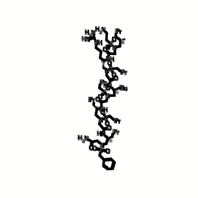 CCC(C)[C@@H](CN(CC(=O)N[C@@H](CC(C)C)CN(CC(=O)N[C@@H](CC(C)C)CN(CC(N)=O)S(=O)(=O)Cc1ccccc1)S(=O)(=O)CC(C)C)S(=O)(=O)CC(C)C)NC(=O)CN(C[C@H](CCCNC(=N)N)NC(=O)CN(C[C@@H](C)CC(C)C)S(=O)(=O)CCN)S(=O)(=O)CC(C)C